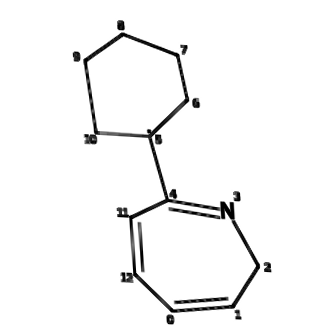 C1=CCN=C([C]2CCCCC2)C=C1